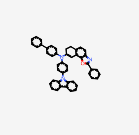 C1=C(N(c2ccc(-c3ccccc3)cc2)c2ccc(-n3c4ccccc4c4ccccc43)cc2)CCc2ccc3nc(-c4ccccc4)oc3c21